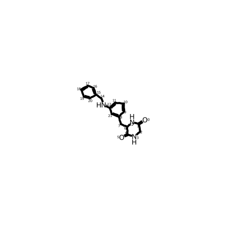 O=C1CNC(=O)C(Cc2cccc(NCc3ccccc3)c2)N1